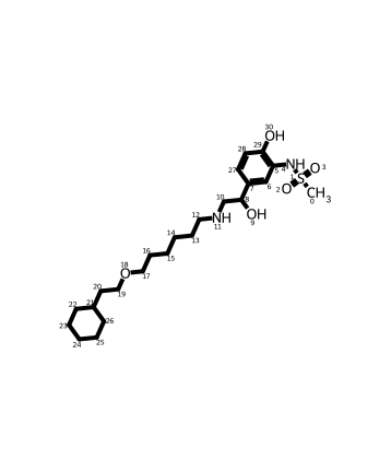 CS(=O)(=O)Nc1cc(C(O)CNCCCCCCOCCC2CCCCC2)ccc1O